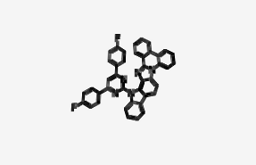 Fc1ccc(-c2cc(-c3ccc(F)cc3)nc(-n3c4ccccc4c4ccc5c(nc6c7ccccc7c7ccccc7n56)c43)n2)cc1